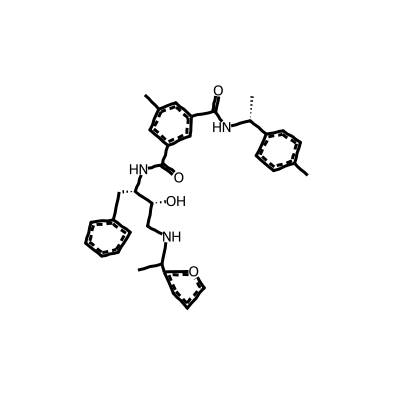 Cc1ccc([C@@H](C)NC(=O)c2cc(C)cc(C(=O)N[C@@H](Cc3ccccc3)[C@H](O)CNC(C)c3ccco3)c2)cc1